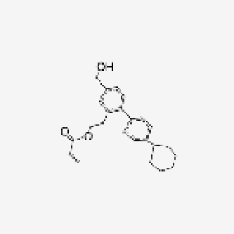 C=C(C)C(=O)OCCc1cc(CO)ccc1-c1ccc(C2CCCCC2)cc1